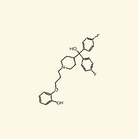 Oc1ccccc1OCCCN1CCC(C(O)(c2ccc(F)cc2)c2ccc(F)cc2)CC1